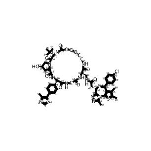 Cc1ncsc1-c1ccc([C@H]2NC(=O)[C@@H]3C[C@@H](O)CN3C(=O)[C@H](C(C)(C)C)NC(=O)CCOCCNC(=O)[C@@H](CNC(=O)C[C@@H]3N=C(c4ccc(Cl)cc4)c4c(sc(C)c4C)-n4c(C)nnc43)NC(=O)CNC2=O)cc1